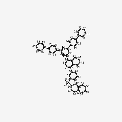 CC1(C)c2cc(-c3ccc(-c4cc(-c5ccc(-c6ccccc6)cc5)nc(-c5ccc(-c6ccccc6)cc5)n4)c4ccccc34)ccc2-c2c1ccc1ccccc21